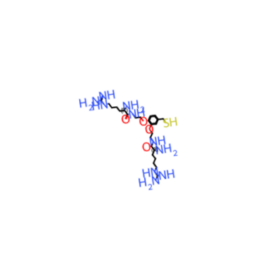 N=C(N)NCCCC[C@@H](N)C(=O)NCCOc1ccc(CS)cc1OCCNC(=O)[C@H](N)CCCCNC(=N)N